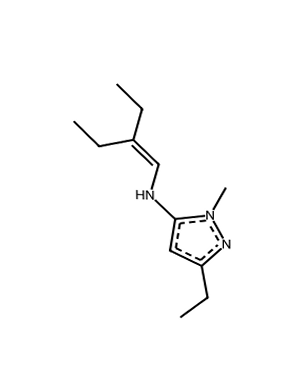 CCC(=CNc1cc(CC)nn1C)CC